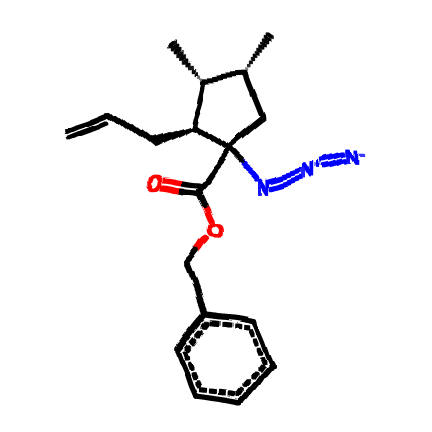 C=CC[C@H]1[C@H](C)[C@H](C)CC1(N=[N+]=[N-])C(=O)OCc1ccccc1